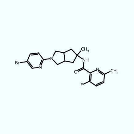 Cc1ccc(F)c(C(=O)NC2(C)CC3CN(c4ccc(Br)cn4)CC3C2)n1